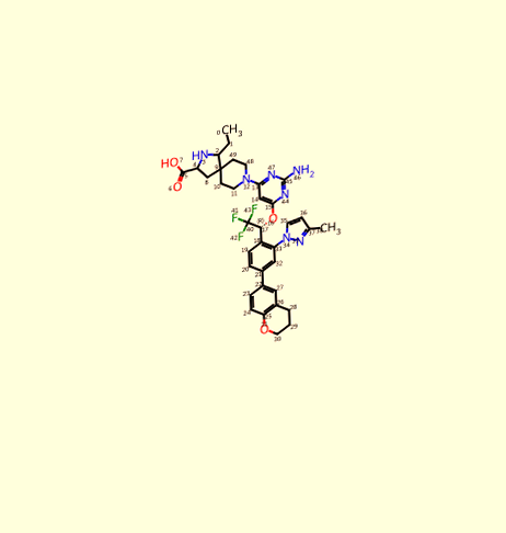 CCC1NC(C(=O)O)CC12CCN(c1cc(O[C@H](c3ccc(-c4ccc5c(c4)CCCO5)cc3-n3ccc(C)n3)C(F)(F)F)nc(N)n1)CC2